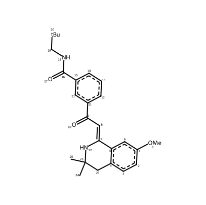 COc1ccc2c(c1)C(=CC(=O)c1cccc(C(=O)NCC(C)(C)C)c1)NC(C)(C)C2